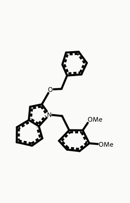 COc1cccc(Cn2c(OCc3ccccc3)cc3ccccc32)c1OC